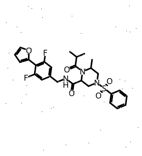 CC(C)C(=O)N1C(C)CN(S(=O)(=O)c2ccccc2)CC1C(=O)NCc1cc(F)c(-c2ccco2)c(F)c1